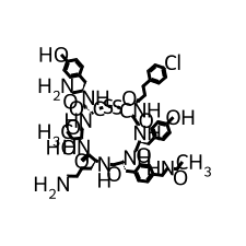 CC(=O)NCc1ccc(C[C@H]2NC(=O)[C@H](Cc3ccc(O)cc3)NC(=O)[C@H](NC(=O)CCc3ccc(Cl)cc3)CSSC[C@@H](C(=O)N[C@H](Cc3ccc(O)cc3)C(N)=O)NC(=O)C(C(C)O)NC(=O)[C@H](CCCCN)NC2=O)cc1